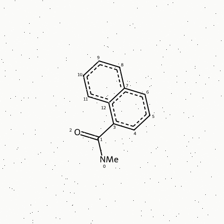 [CH2]NC(=O)c1cccc2ccccc12